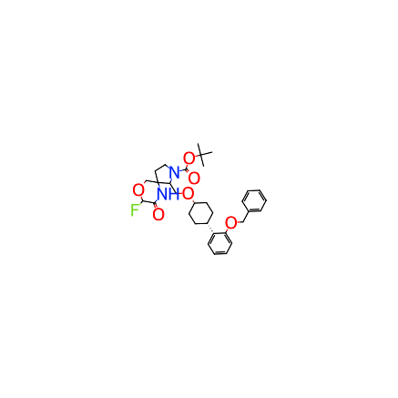 CC(C)(C)OC(=O)N1CCC2(COC(F)C(=O)N2)C1CO[C@H]1CC[C@@H](c2ccccc2OCc2ccccc2)CC1